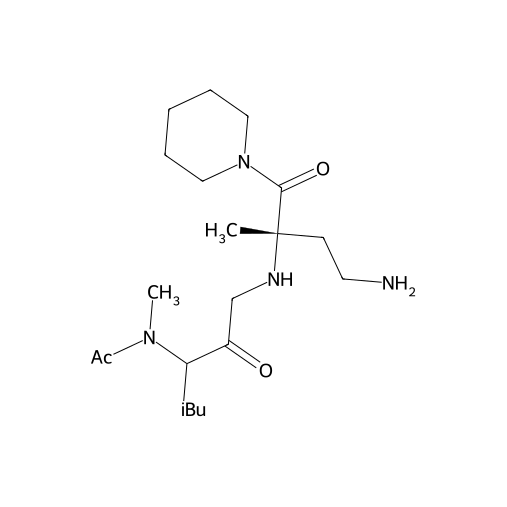 CCC(C)C(C(=O)CN[C@@](C)(CCN)C(=O)N1CCCCC1)N(C)C(C)=O